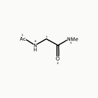 [CH2]NC(=O)CNC(C)=O